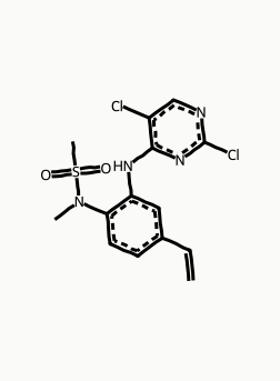 C=Cc1ccc(N(C)S(C)(=O)=O)c(Nc2nc(Cl)ncc2Cl)c1